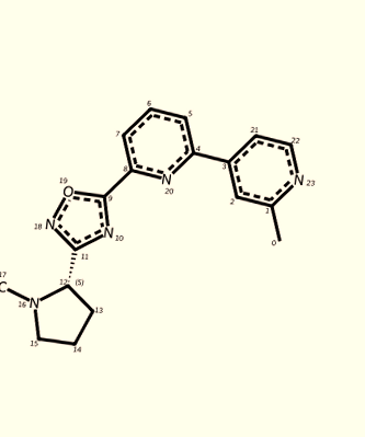 Cc1cc(-c2cccc(-c3nc([C@@H]4CCCN4C#N)no3)n2)ccn1